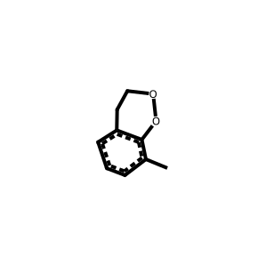 Cc1cccc2c1OOCC2